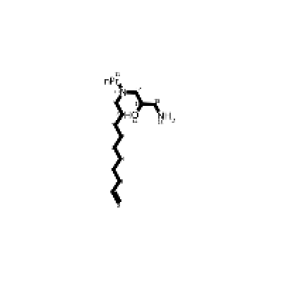 C=CCCCCCCCCN(CCC)CC(O)CN